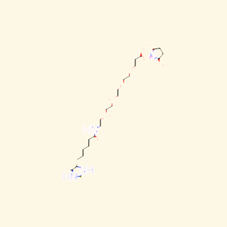 C[C@@H]1NC(=S)N[C@@H]1CCCCCC(=O)NCCOCCOCCOCCOCCC(=O)ON1C(=O)CCC1=O